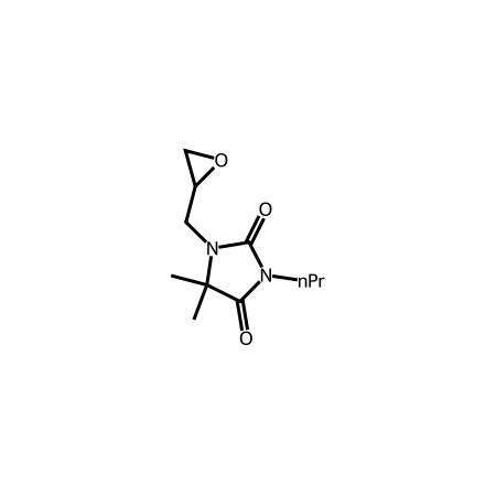 CCCN1C(=O)N(CC2CO2)C(C)(C)C1=O